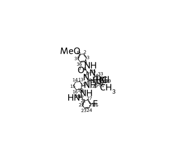 COc1ccc(NC(=O)c2nc(N[C@H]3CCCC[C@H]3NC(=N)c3cccc(F)c3)c3cc(C)ccc3n2)cc1.Cl.Cl